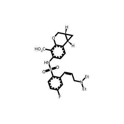 CCN(CC)C/C=C\c1cc(F)ccc1S(=O)(=O)Nc1ccc2c(c1C(=O)O)OC[C@@H]1C[C@H]21